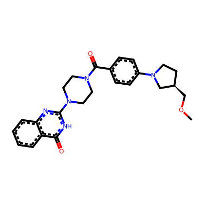 COC[C@@H]1CCN(c2ccc(C(=O)N3CCN(c4nc5ccccc5c(=O)[nH]4)CC3)cc2)C1